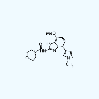 COc1ccc(-c2cnn(C)c2)c2nc(NC(=O)N3CCOCC3)[nH]c12